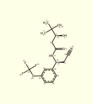 CC(C)(C)[C@@H](O)CC(=O)N[C@@H](CC#N)c1cccc(OC(F)(F)F)c1